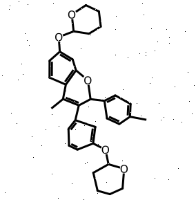 CC1=C(c2cccc(OC3CCCCO3)c2)C(c2ccc(C)cc2)Oc2cc(OC3CCCCO3)ccc21